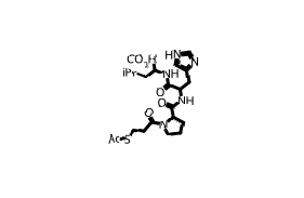 CC(=O)SCCC(=O)N1CCCC1C(=O)NC(Cc1c[nH]cn1)C(=O)NC(CC(C)C)C(=O)O